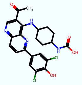 CC(=O)c1cnc2ccc(-c3cc(Cl)c(O)c(Cl)c3)nc2c1NC1CCC(NC(=O)O)CC1